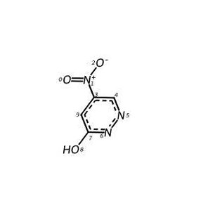 O=[N+]([O-])c1cnnc(O)c1